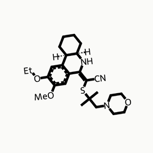 CCOc1cc2c(cc1OC)C(=C(C#N)SC(C)(C)CN1CCOCC1)N[C@@H]1CCCC[C@H]21